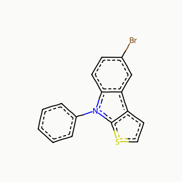 Brc1ccc2c(c1)c1ccsc1n2-c1ccccc1